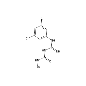 CC(C)(C)NC(=O)NC(=N)Nc1cc(Cl)cc(Cl)c1